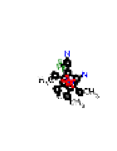 Cc1cccc(-c2ccc3c(c2)c2cc(-c4cccc(C)c4)ccc2n3-c2ccc(C#N)cc2-c2cc(-c3ccc(C#N)cc3C(F)(F)F)ccc2-n2c3ccc(-c4cccc(C)c4)cc3c3cc(-c4cccc(C)c4)ccc32)c1